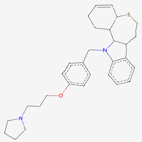 C1=CC2SCCC3c4ccccc4N(Cc4ccc(OCCCN5CCCC5)cc4)C3C2CC1